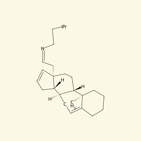 CC(C)CC/N=C\C[C@@]12C=CC[C@H]1[C@@H]1CC=C3CCCC[C@]3(C)[C@H]1CC2